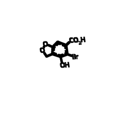 O=C(O)c1cc2c(c(O)c1Br)COO2